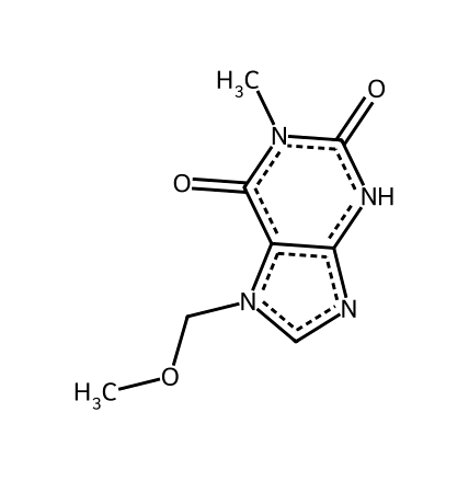 COCn1cnc2[nH]c(=O)n(C)c(=O)c21